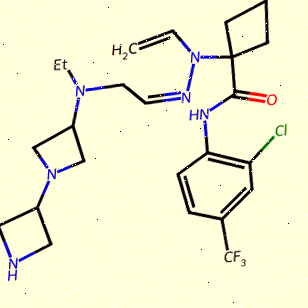 C=CN(/N=C\CN(CC)C1CN(C2CNC2)C1)C1(C(=O)Nc2ccc(C(F)(F)F)cc2Cl)CCC1